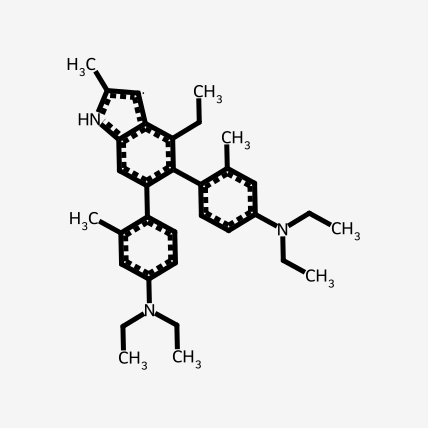 CCc1c(-c2ccc(N(CC)CC)cc2C)c(-c2ccc(N(CC)CC)cc2C)cc2[nH]c(C)[c]c12